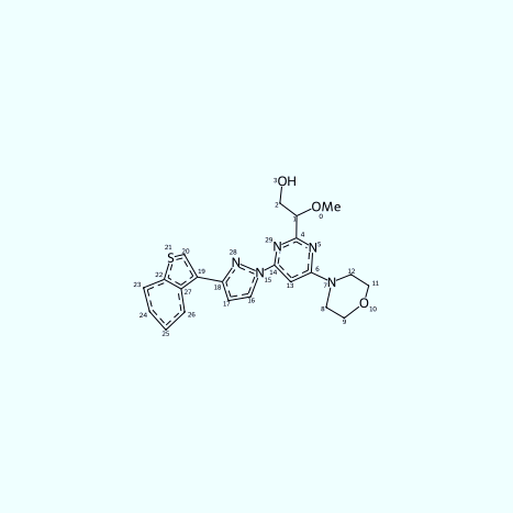 COC(CO)c1nc(N2CCOCC2)cc(-n2ccc(-c3csc4ccccc34)n2)n1